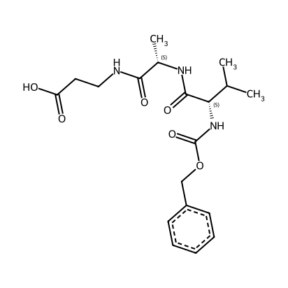 CC(C)[C@H](NC(=O)OCc1ccccc1)C(=O)N[C@@H](C)C(=O)NCCC(=O)O